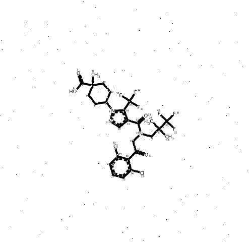 CC1(C(=O)O)CCC(n2ncc(C(=O)N(CC(=O)c3c(Cl)cccc3Cl)CC(C)(C)C(F)(F)F)c2C(F)(F)F)CC1